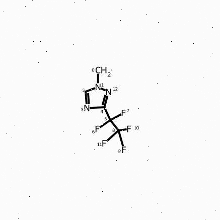 [CH2]n1cnc(C(F)(F)C(F)(F)F)n1